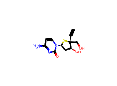 C#C[C@]1(CO)S[C@@H](n2ccc(N)nc2=O)C[C@@H]1O